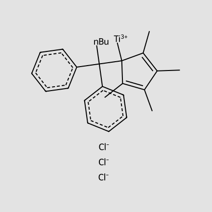 CCCCC(c1ccccc1)(c1ccccc1)[C]1([Ti+3])C(C)=C(C)C(C)=C1C.[Cl-].[Cl-].[Cl-]